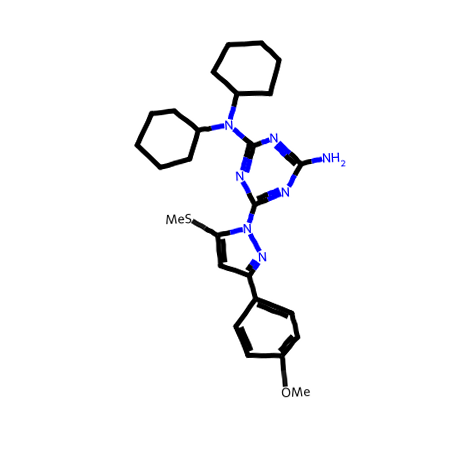 COc1ccc(-c2cc(SC)n(-c3nc(N)nc(N(C4CCCCC4)C4CCCCC4)n3)n2)cc1